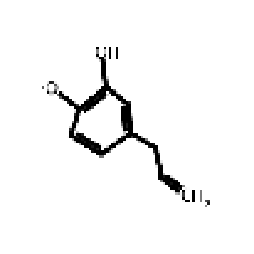 C=CCc1ccc([O])c(O)c1